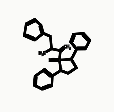 C=C(C(C)Cc1ccccc1)P1(=S)N(c2ccccc2)CCN1c1ccccc1